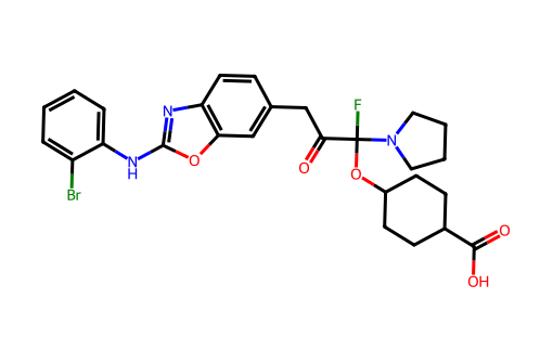 O=C(O)C1CCC(OC(F)(C(=O)Cc2ccc3nc(Nc4ccccc4Br)oc3c2)N2CCCC2)CC1